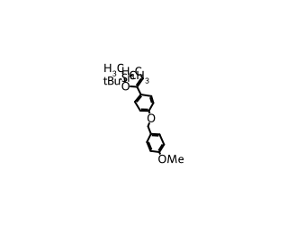 CC=C(O[Si](C)(C)C(C)(C)C)c1ccc(OCc2ccc(OC)cc2)cc1